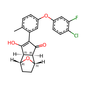 Cc1ccc(Oc2ccc(Cl)c(F)c2)cc1C1=C(O)[C@H]2[C@@H](C1=O)[C@@H]1CC[C@H]2O1